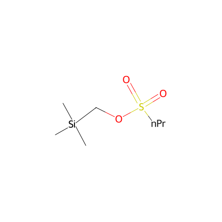 CCCS(=O)(=O)OC[Si](C)(C)C